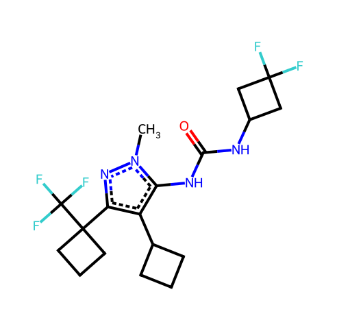 Cn1nc(C2(C(F)(F)F)CCC2)c(C2CCC2)c1NC(=O)NC1CC(F)(F)C1